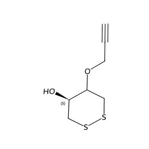 C#CCOC1CSSC[C@H]1O